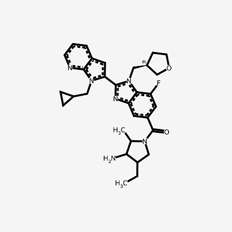 CCC1CN(C(=O)c2cc(F)c3c(c2)nc(-c2cc4cccnc4n2CC2CC2)n3C[C@H]2CCOC2)C(C)C1N